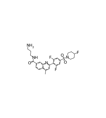 Cc1cc(-c2c(F)cc(S(=O)(=O)N3CCC(F)CC3)cc2F)nc2cc(C(=O)NCCCN)ccc12